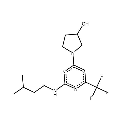 CC(C)CCNc1nc(N2CCC(O)C2)cc(C(F)(F)F)n1